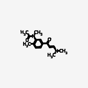 CC(=O)N(C)c1cc(C(=O)C=CN(C)C)ccc1C